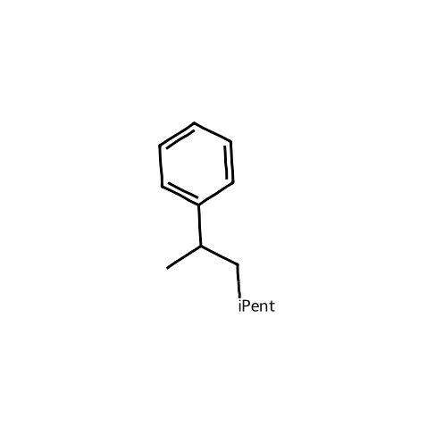 CCCC(C)CC(C)c1ccccc1